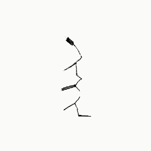 CCC(C)OC(=O)CC(O)CC#N